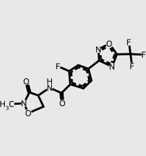 CN1OCC(NC(=O)c2ccc(-c3noc(C(F)(F)F)n3)cc2F)C1=O